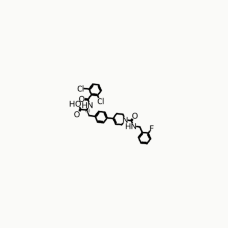 O=C(N[C@@H](Cc1ccc(C2=CCN(C(=O)NCc3ccccc3F)CC2)cc1)C(=O)O)c1c(Cl)cccc1Cl